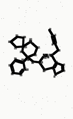 CC#CCOc1ccsc1CC(N)CC1(c2ccccn2)CCOC2(CCCC2)C1